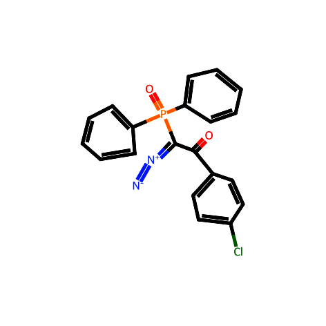 [N-]=[N+]=C(C(=O)c1ccc(Cl)cc1)P(=O)(c1ccccc1)c1ccccc1